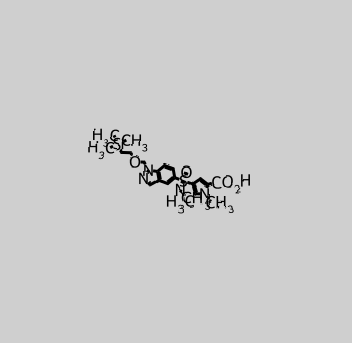 CN=S(=O)(c1ccc2c(cnn2COCC[Si](C)(C)C)c1)c1cc(C(=O)O)n(C)c1C